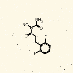 N#CN(C(N)=O)C(=O)[CH]Cc1c(F)cccc1F